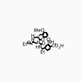 CCO/N=C1/CN(C(=O)N[C@H](CC)c2ccc(C(=O)O)c(N)c2)C(=O)[C@H](Cc2cc(Cl)ccc2OC)CN1